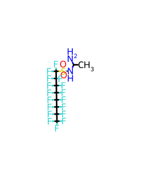 CC(N)NS(=O)(=O)C(F)(F)C(F)(F)C(F)(F)C(F)(F)C(F)(F)C(F)(F)C(F)(F)C(F)(F)F